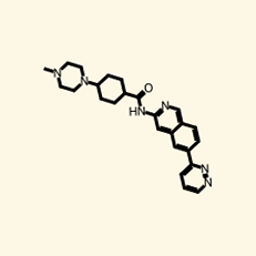 CN1CCN(C2CCC(C(=O)Nc3cc4cc(-c5cccnn5)ccc4cn3)CC2)CC1